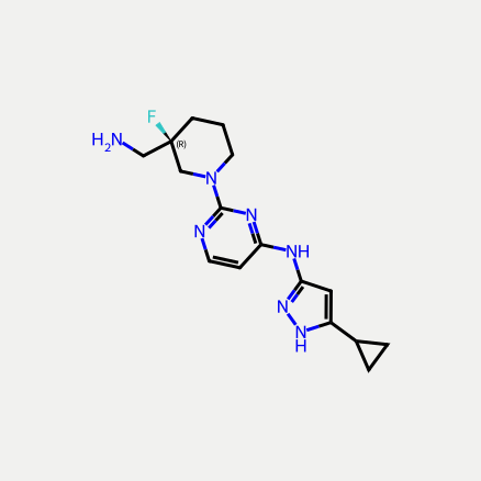 NC[C@]1(F)CCCN(c2nccc(Nc3cc(C4CC4)[nH]n3)n2)C1